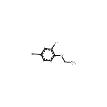 CCOc1ccc(O)cc1F